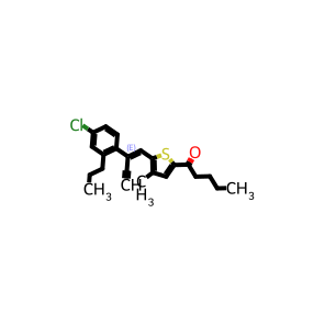 C#C/C(=C\c1sc(C(=O)CCCC)cc1C)c1ccc(Cl)cc1CCC